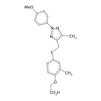 COc1ccc(-n2nc(C)c(CSc3ccc(OCC(=O)O)c(C)c3)n2)cc1